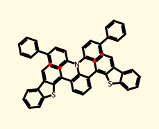 c1ccc(-c2ccc(N(c3ccc(-c4ccccc4)cc3)c3c(-c4cccc5c4sc4ccccc45)cccc3-c3cccc4c3sc3ccccc34)cc2)cc1